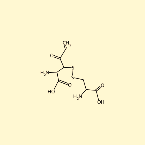 C=CC(=O)C(SSCC(N)C(=O)O)C(N)C(=O)O